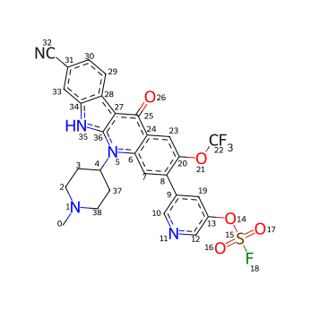 CN1CCC(n2c3cc(-c4cncc(OS(=O)(=O)F)c4)c(OC(F)(F)F)cc3c(=O)c3c4ccc(C#N)cc4[nH]c32)CC1